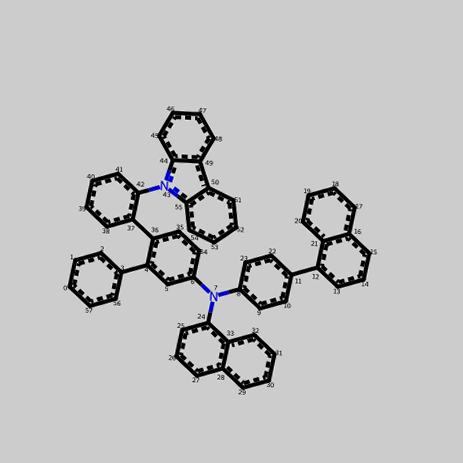 c1ccc(-c2cc(N(c3ccc(-c4cccc5ccccc45)cc3)c3cccc4ccccc34)ccc2-c2ccccc2-n2c3ccccc3c3ccccc32)cc1